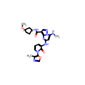 CNc1cc(Nc2cccn(-c3ocnc3C)c2=O)nc2c(C(=O)N[C@@H]3CC[C@@H](OC)C3)cnn12